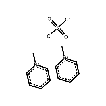 C[n+]1ccccc1.C[n+]1ccccc1.O=S(=O)([O-])[O-]